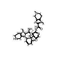 CN1CCc2c(nc(C(=O)Nc3cc(C4(C)C(Cl)=CC=CC4N4C5=C(CCNC5)N(C)C4C(N)=O)ccn3)n2C)C1